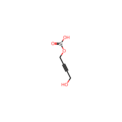 O=[Si](O)OCC#CCO